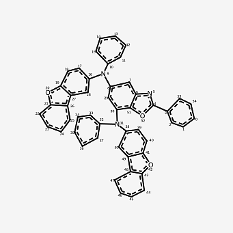 c1ccc(-c2nc3cc(N(c4ccccc4)c4ccc5oc6ccccc6c5c4)cc(N(c4ccccc4)c4ccc5oc6ccccc6c5c4)c3o2)cc1